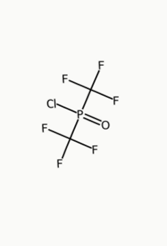 O=P(Cl)(C(F)(F)F)C(F)(F)F